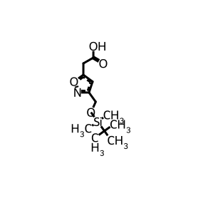 CC(C)(C)[Si](C)(C)OCc1cc(CC(=O)O)on1